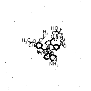 CCOc1cc(C(Nc2ccc3c(N)nccc3c2)C(=O)N2CCC(C(=O)OC)C2c2cc([N+](=O)[O-])ccc2S(=O)(=O)C(C)C)ccc1OC(C)C.O=C(O)C(F)(F)F